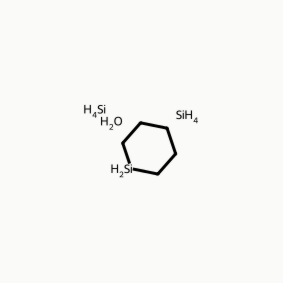 C1CC[SiH2]CC1.O.[SiH4].[SiH4]